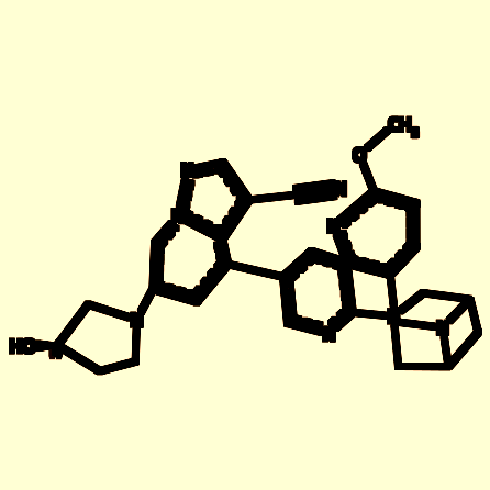 COc1ccc(CN2C3CC2CN(c2ccc(-c4cc(N5CC[C@@H](O)C5)cn5ncc(C#N)c45)cn2)C3)cn1